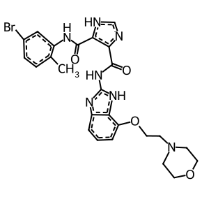 Cc1ccc(Br)cc1NC(=O)c1[nH]cnc1C(=O)Nc1nc2cccc(OCCN3CCOCC3)c2[nH]1